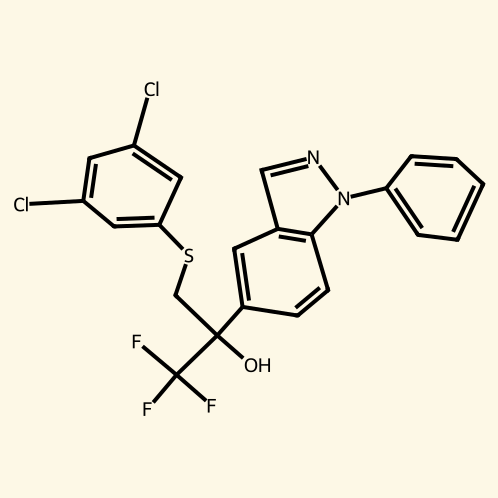 OC(CSc1cc(Cl)cc(Cl)c1)(c1ccc2c(cnn2-c2ccccc2)c1)C(F)(F)F